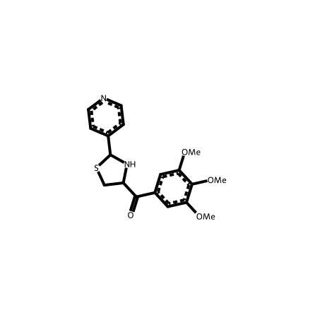 COc1cc(C(=O)C2CSC(c3ccncc3)N2)cc(OC)c1OC